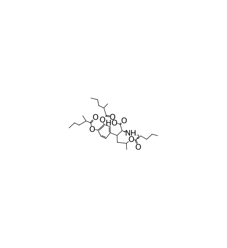 CCCCC(=O)OC(C)CC(c1ccc(OC(=O)C(C)CCC)c(OC(=O)C(C)CCC)c1)[C@H](N)C(=O)O